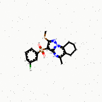 CSc1nn2c3c(c(C)nc2c1S(=O)(=O)c1cccc(F)c1)CCCC3